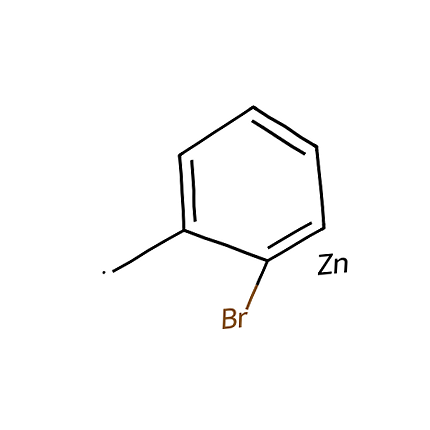 [CH2]c1ccccc1Br.[Zn]